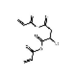 C=CC(=O)OC(=O)CC(CC)C(=O)OC(=O)C=C